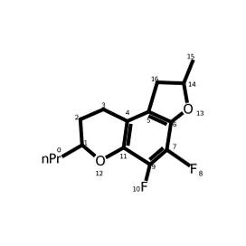 CCCC1CCc2c3c(c(F)c(F)c2O1)OC(C)C3